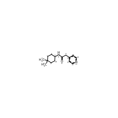 CC1(C)CCC(NC(=O)Cc2ccncc2)CC1